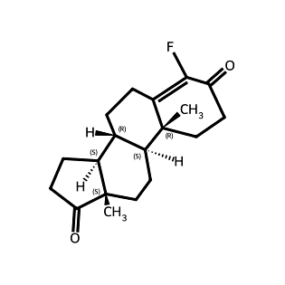 C[C@]12CCC(=O)C(F)=C1CC[C@@H]1[C@@H]2CC[C@]2(C)C(=O)CC[C@@H]12